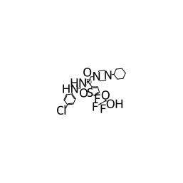 O=C(Nc1ccc(Cl)cc1)N[C@H](C(=O)N1CCN(C2CCCCC2)CC1)c1cccs1.O=C(O)C(F)(F)F